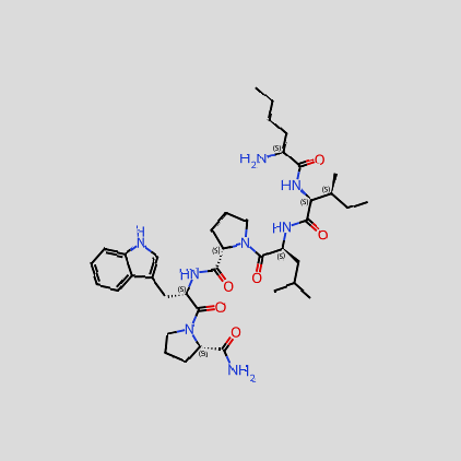 CCCC[C@H](N)C(=O)N[C@H](C(=O)N[C@@H](CC(C)C)C(=O)N1CCC[C@H]1C(=O)N[C@@H](Cc1c[nH]c2ccccc12)C(=O)N1CCC[C@H]1C(N)=O)[C@@H](C)CC